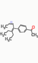 C/C=C\C(=C(CC)CC)c1ccc(C(C)=O)cc1